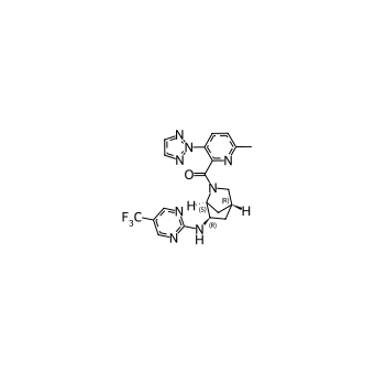 Cc1ccc(-n2nccn2)c(C(=O)N2C[C@@H]3C[C@@H](Nc4ncc(C(F)(F)F)cn4)[C@@H]2C3)n1